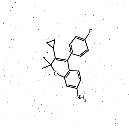 CC1(C)Oc2cc(N)ccc2C(c2ccc(F)cc2)=C1C1CC1